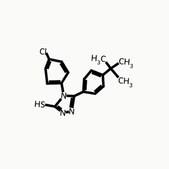 CC(C)(C)c1ccc(-c2nnc(S)n2-c2ccc(Cl)cc2)cc1